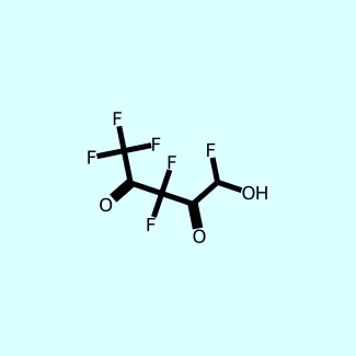 O=C(C(O)F)C(F)(F)C(=O)C(F)(F)F